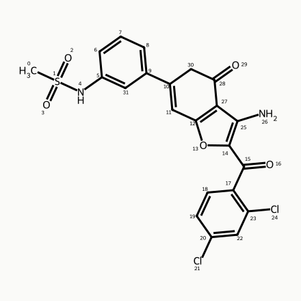 CS(=O)(=O)Nc1cccc(C2=Cc3oc(C(=O)c4ccc(Cl)cc4Cl)c(N)c3C(=O)C2)c1